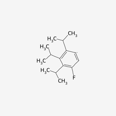 CC(C)c1[c]cc(F)c(C(C)C)c1C(C)C